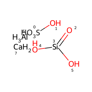 O=S(=O)(O)O.O=[Si](O)O.[AlH3].[CaH2]